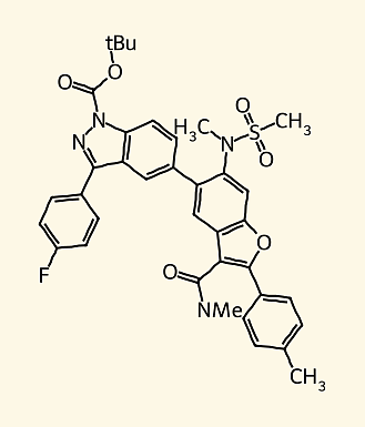 CNC(=O)c1c(-c2ccc(C)cc2)oc2cc(N(C)S(C)(=O)=O)c(-c3ccc4c(c3)c(-c3ccc(F)cc3)nn4C(=O)OC(C)(C)C)cc12